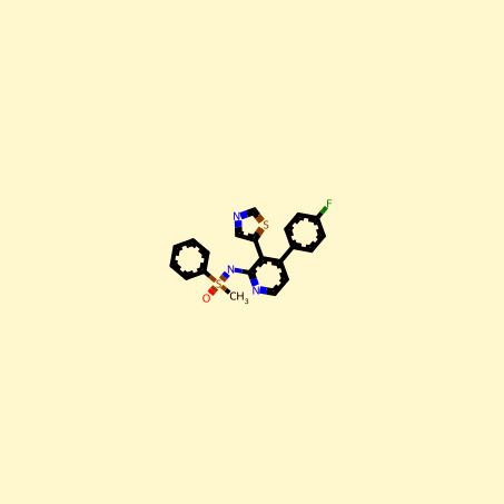 CS(=O)(=Nc1nccc(-c2ccc(F)cc2)c1-c1cncs1)c1ccccc1